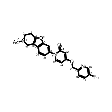 CC(=O)N1CCc2oc3cc(-n4ccc(OCc5ccc(F)cn5)cc4=O)ccc3c2C1